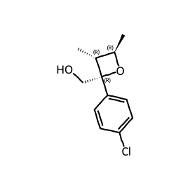 C[C@@H]1[C@@H](C)O[C@@]1(CO)c1ccc(Cl)cc1